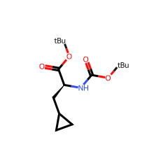 CC(C)(C)OC(=O)N[C@@H](CC1CC1)C(=O)OC(C)(C)C